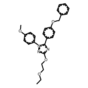 CCOCCOc1nc(-c2ccc(OCc3ccccc3)cc2)n(-c2ccc(OC)cc2)n1